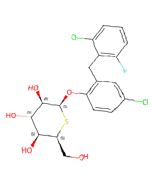 OC[C@@H]1S[C@H](Oc2ccc(Cl)cc2Cc2c(F)cccc2Cl)[C@H](O)[C@@H](O)[C@@H]1O